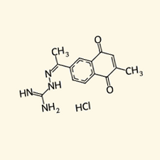 CC1=CC(=O)c2cc(/C(C)=N\NC(=N)N)ccc2C1=O.Cl